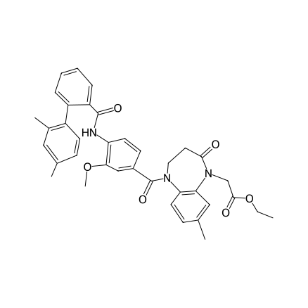 CCOC(=O)CN1C(=O)CCN(C(=O)c2ccc(NC(=O)c3ccccc3-c3ccc(C)cc3C)c(OC)c2)c2ccc(C)cc21